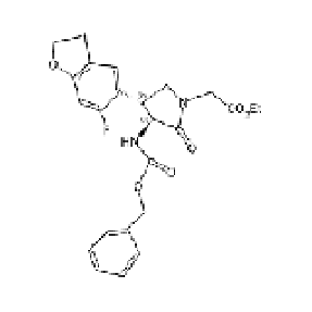 CCOC(=O)CN1C[C@@H](c2cc3c(cc2F)OCC3)[C@H](NC(=O)OCc2ccccc2)C1=O